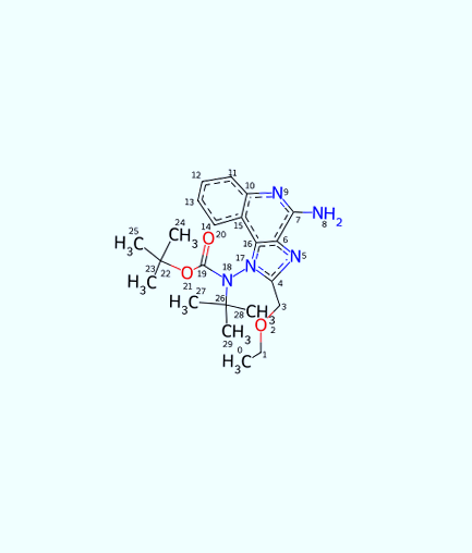 CCOCc1nc2c(N)nc3ccccc3c2n1N(C(=O)OC(C)(C)C)C(C)(C)C